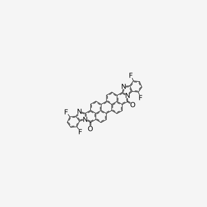 O=c1c2ccc3c4ccc5c(=O)n6c(nc7c(F)ccc(F)c76)c6ccc(c7ccc(c2c37)c2nc3c(F)ccc(F)c3n12)c4c56